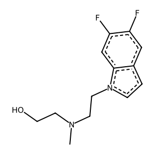 CN(CCO)CCn1ccc2cc(F)c(F)cc21